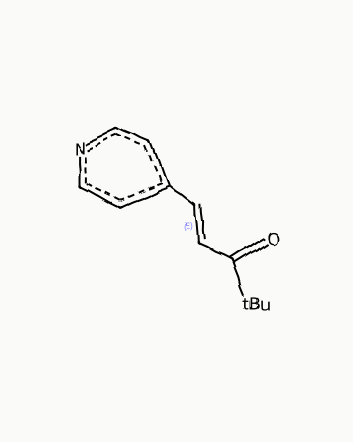 CC(C)(C)C(=O)/C=C/c1ccncc1